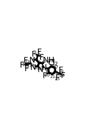 Nc1c2c(C(F)(F)F)nc(C(F)(F)F)nc2nn1-c1c(F)cc(C(F)(F)F)cc1Cl